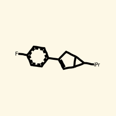 CC(C)C1C2C=C(c3ccc(F)cc3)CC21